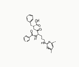 Cc1cc(C)nc(NCCCC(NC(=O)c2ccccc2)C(=O)CC(Cc2ccccc2)C(=O)O)n1